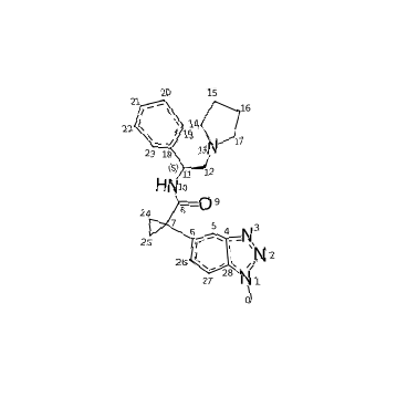 Cn1nnc2cc(C3(C(=O)N[C@H](CN4CCCC4)c4ccccc4)CC3)ccc21